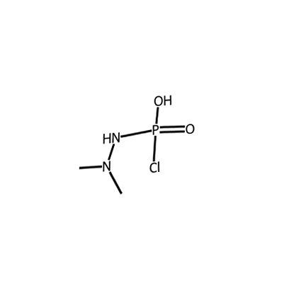 CN(C)NP(=O)(O)Cl